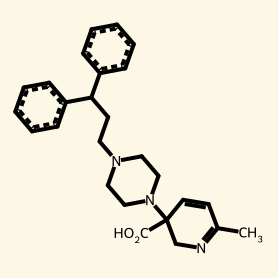 CC1=NCC(C(=O)O)(N2CCN(CCC(c3ccccc3)c3ccccc3)CC2)C=C1